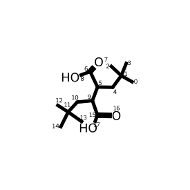 CC(C)(C)CC(C(=O)O)C(CC(C)(C)C)C(=O)O